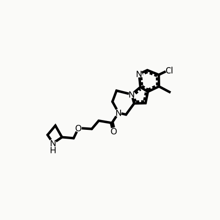 Cc1c(Cl)cnc2c1cc1n2CCN(C(=O)CCOCC2CCN2)C1